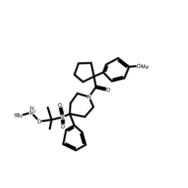 COc1ccc(C2(C(=O)N3CCC(c4ccccc4)(S(=O)(=O)C(C)(C)O[SiH2]C(C)(C)C)CC3)CCCC2)cc1